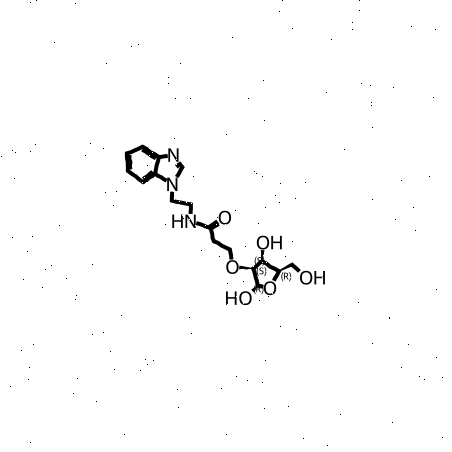 O=C(CCO[C@H]1[C@@H](O)[C@@H](CO)O[C@H]1O)NCCn1cnc2ccccc21